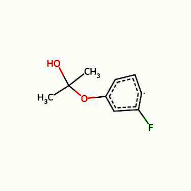 CC(C)(O)Oc1cc[c]c(F)c1